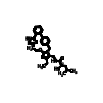 CCOc1nc(CC)c(CNC(=O)[C@@H](S)CC(C)C)n1Cc1ccc(-c2ccccc2-c2nnn[nH]2)cc1